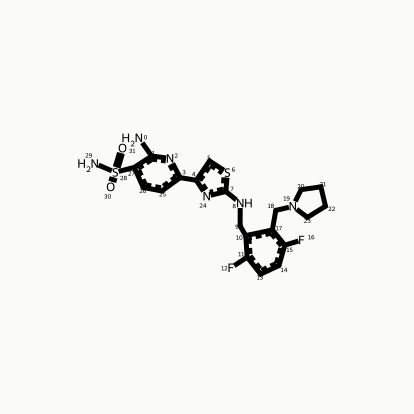 Nc1nc(-c2csc(NCc3c(F)ccc(F)c3CN3CCCC3)n2)ccc1S(N)(=O)=O